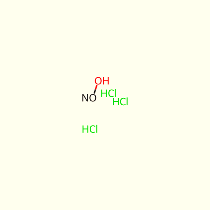 Cl.Cl.Cl.O=NO